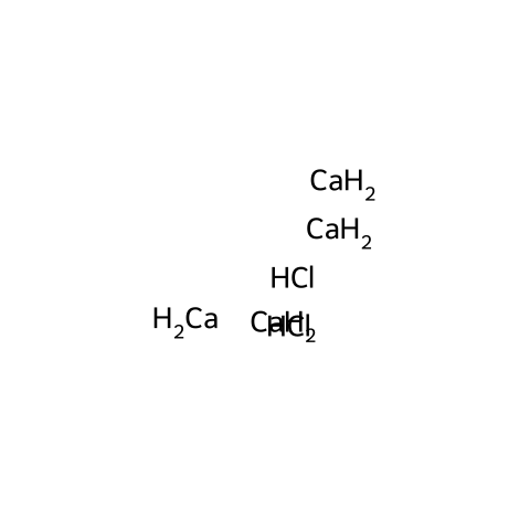 Cl.Cl.[CaH2].[CaH2].[CaH2].[CaH2]